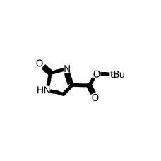 CC(C)(C)OC(=O)C1=NC(=O)NC1